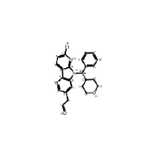 O=CCc1cnc2c3ccc(Cl)nc3n([C@@H](c3ccccc3)C3CCOCC3)c2c1